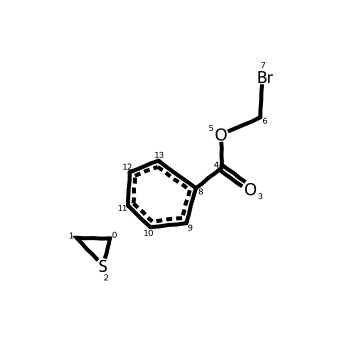 C1CS1.O=C(OCBr)c1ccccc1